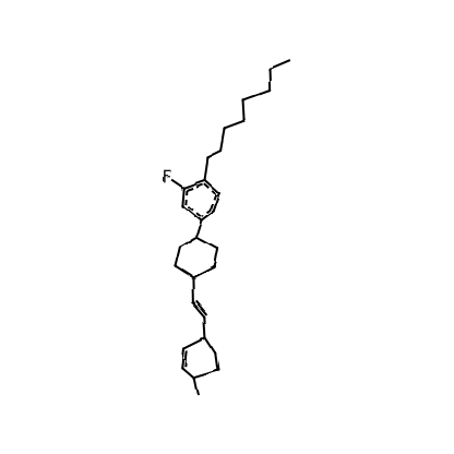 CCCCCCCCc1ccc(C2CCC(/C=C/C3C=CC(C)CC3)CC2)cc1F